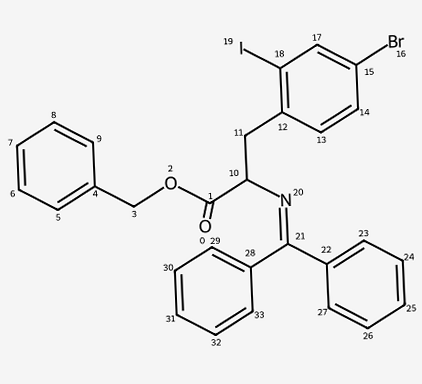 O=C(OCc1ccccc1)C(Cc1ccc(Br)cc1I)N=C(c1ccccc1)c1ccccc1